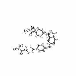 CCN(CC)C(=O)N1CCN(c2ccc(Nc3ncc4ccn(-c5ccc(S(C)(=O)=O)cc5)c4n3)cc2)CC1